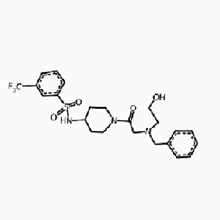 O=C(CN(CCO)Cc1ccccc1)N1CCC(NS(=O)(=O)c2cccc(C(F)(F)F)c2)CC1